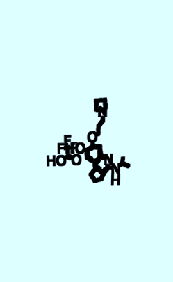 CC(C)Nc1nc2cc(OCCCN3CCCC3)c(O)cc2c2c1CCC2.O=C(O)C(F)(F)F